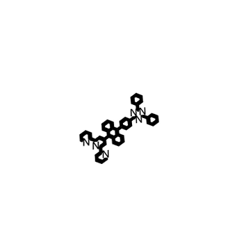 c1ccc(-c2nc(-c3ccccc3)nc(-c3ccc(-c4c5ccccc5c(-c5cc(-c6ccccn6)nc(-c6ccccn6)c5)c5ccccc45)cc3)n2)cc1